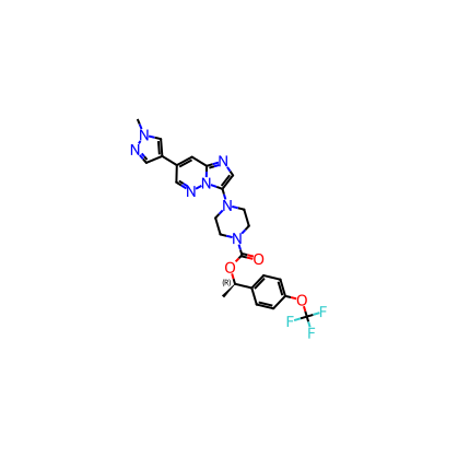 C[C@@H](OC(=O)N1CCN(c2cnc3cc(-c4cnn(C)c4)cnn23)CC1)c1ccc(OC(F)(F)F)cc1